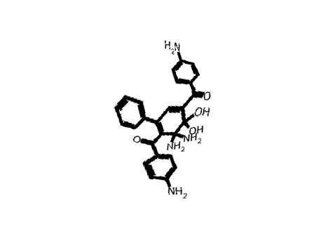 Nc1ccc(C(=O)C2=CC(c3ccccc3)=C(C(=O)c3ccc(N)cc3)C(N)(N)C2(O)O)cc1